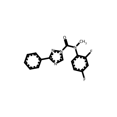 CN(C(=O)n1cnc(-c2ccccc2)n1)c1ccc(F)cc1F